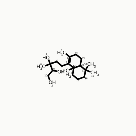 CC1=C(CCC(C)(O)C(O)CO)C2(C)CCCC(C)(C)C2CC1